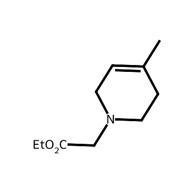 CCOC(=O)CN1CC=C(C)CC1